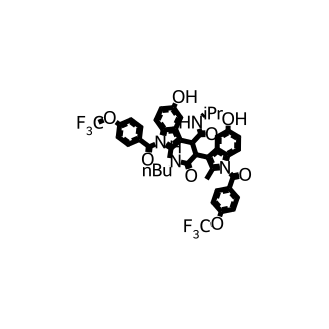 CCCCNC(=O)C(c1c(C)n(C(=O)c2ccc(OC(F)(F)F)cc2)c2ccc(O)cc12)C(C(=O)NC(C)C)c1c(C)n(C(=O)c2ccc(OC(F)(F)F)cc2)c2ccc(O)cc12